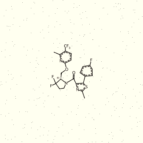 Cc1nc(C(=O)N2CCC(F)(F)[C@H]2COc2ccc(C(F)(F)F)c(C)n2)c(-c2ccc(F)cc2)s1